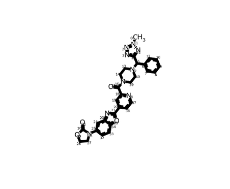 Cn1nnc(C(c2ccccc2)N2CCN(C(=O)c3cc(-c4nc5cc(N6CCOC6=O)ccc5o4)ccn3)CC2)n1